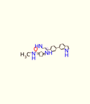 CCNC(=O)[C@H]1CC[C@@H](N/C(=C\C=N)c2ccc(-c3ccc4cc[nH]c4c3)cc2)C1